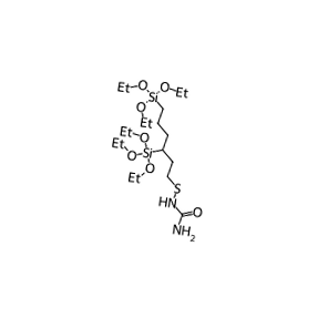 CCO[Si](CCCC(CCSNC(N)=O)[Si](OCC)(OCC)OCC)(OCC)OCC